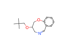 CC(C)(C)COC1C/N=C\c2ccccc2OC1